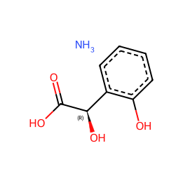 N.O=C(O)[C@H](O)c1ccccc1O